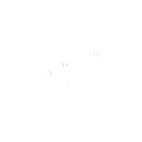 CC(=O)C1=C(C)NC(=S)NC1c1cccc(O)c1